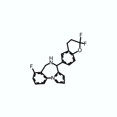 Fc1cccc2c1CNC(c1ccc3c(c1)CCC(F)(F)O3)c1cccn1-2